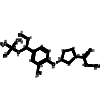 CCOB(OC(C)(C)CC)c1ccc(O[C@@H]2CCN(C(=O)OC(C)(C)C)C2)c(C#N)c1